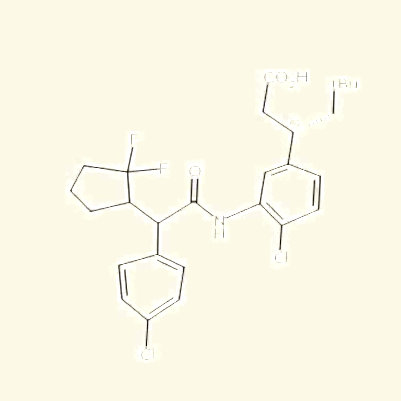 CC(C)(C)C[C@@H](CC(=O)O)c1ccc(Cl)c(NC(=O)C(c2ccc(Cl)cc2)C2CCCC2(F)F)c1